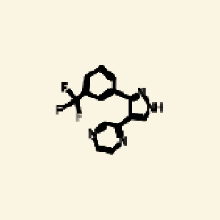 FC(F)(F)c1cccc(-c2n[nH]cc2-c2cnccn2)c1